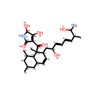 CCC(O)C(C)/C=C/C=C/C(O)CC1C=CC2CC(C)CC(C)C2C1(C)C(=O)C1=C(O)C(O)NC1=O